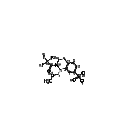 COC[C@H]1c2cc(S(=O)(=O)Cl)ccc2CCN1C(=O)C(F)(F)F